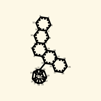 c1ccc2cc3c(ccc4c([C]56[CH]7[CH]8[CH]9[CH]5[Fe]89765%10%11%12[CH]6[CH]5[CH]%10[CH]%11[CH]6%12)c5ccccc5cc43)cc2c1